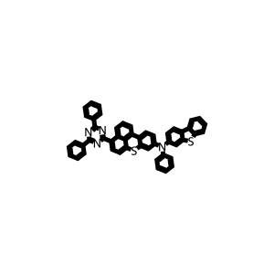 c1ccc(-c2nc(-c3ccccc3)nc(-c3ccc4c5c(cccc35)-c3ccc(N(c5ccccc5)c5ccc6c(c5)sc5ccccc56)cc3S4)n2)cc1